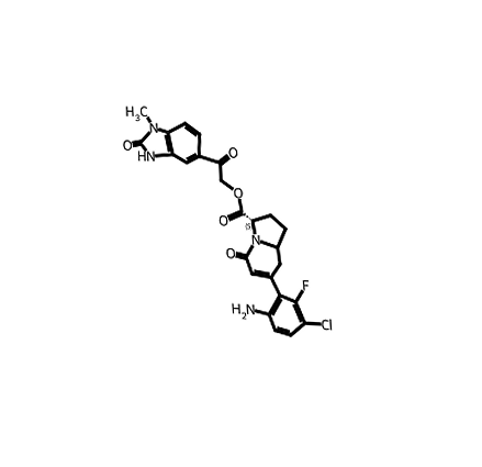 Cn1c(=O)[nH]c2cc(C(=O)COC(=O)[C@@H]3CCC4CC(c5c(N)ccc(Cl)c5F)=CC(=O)N43)ccc21